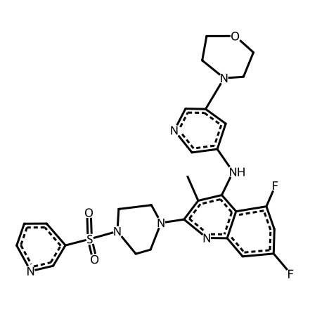 Cc1c(N2CCN(S(=O)(=O)c3cccnc3)CC2)nc2cc(F)cc(F)c2c1Nc1cncc(N2CCOCC2)c1